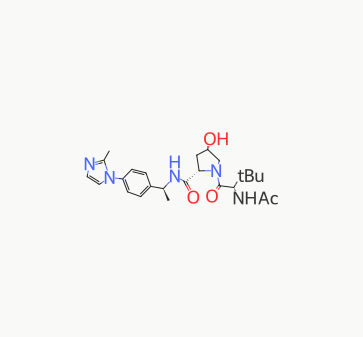 CC(=O)N[C@H](C(=O)N1C[C@H](O)C[C@H]1C(=O)N[C@@H](C)c1ccc(-n2ccnc2C)cc1)C(C)(C)C